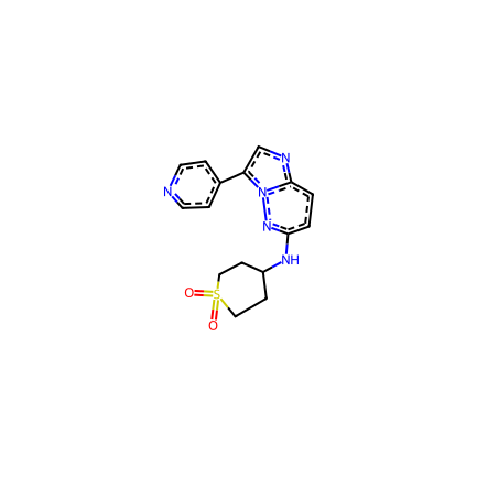 O=S1(=O)CCC(Nc2ccc3ncc(-c4ccncc4)n3n2)CC1